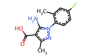 Cc1cc(F)ccc1-n1nc(C)c(C(=O)O)c1N